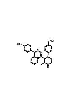 CC1NCCN(c2ccc(C=O)cc2)C1c1nnc(-c2ccc(C(C)(C)C)cc2)c2ccccc12